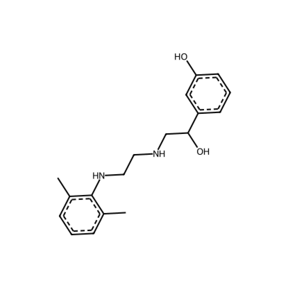 Cc1cccc(C)c1NCCNCC(O)c1cccc(O)c1